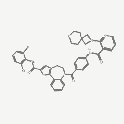 Cc1cccc(F)c1NC(=O)c1cc2c(o1)-c1ccccc1N(C(=O)c1ccc(NC(=O)c3cccnc3N3CC4(CCOCC4)C3)cc1)CC2